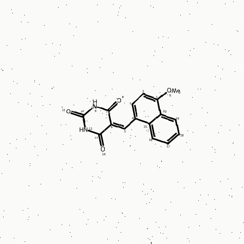 COc1ccc(C=C2C(=O)NC(=O)NC2=O)c2ccccc12